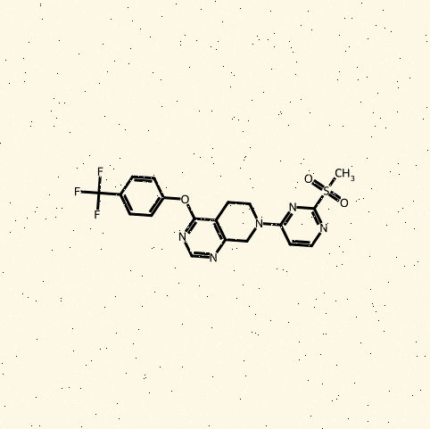 CS(=O)(=O)c1nccc(N2CCc3c(ncnc3Oc3ccc(C(F)(F)F)cc3)C2)n1